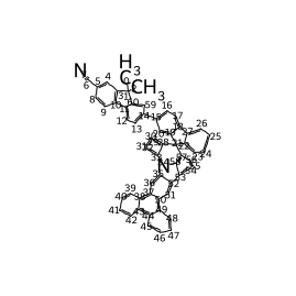 CC1(C)c2cc(C#N)ccc2-c2ccc(-c3ccc4c(c3)C3(c5ccccc5-4)c4ccccc4-n4c5cc6c7ccccc7c7ccccc7c6cc5c5cccc3c54)cc21